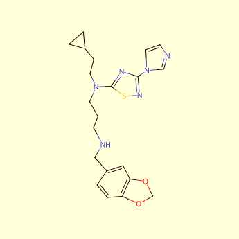 c1cn(-c2nsc(N(CCCNCc3ccc4c(c3)OCO4)CCC3CC3)n2)cn1